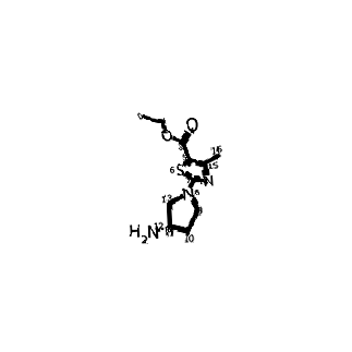 CCOC(=O)c1sc(N2CC[C@H](N)C2)nc1C